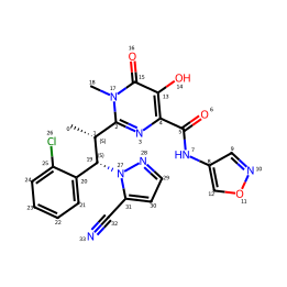 C[C@H](c1nc(C(=O)Nc2cnoc2)c(O)c(=O)n1C)[C@@H](c1ccccc1Cl)n1nccc1C#N